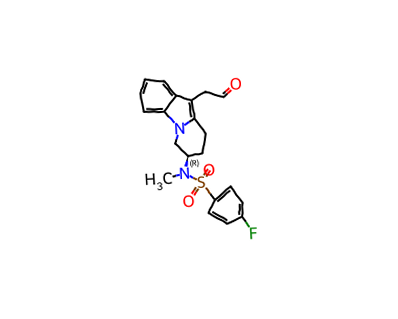 CN([C@@H]1CCc2c(CC=O)c3ccccc3n2C1)S(=O)(=O)c1ccc(F)cc1